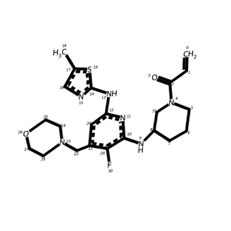 C=CC(=O)N1CCCC(Nc2nc(Nc3ncc(C)s3)cc(CN3CCOCC3)c2F)C1